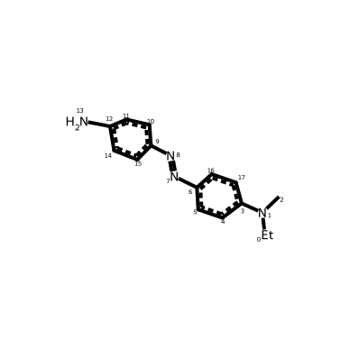 CCN(C)c1ccc(N=Nc2ccc(N)cc2)cc1